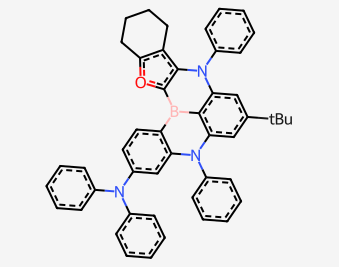 CC(C)(C)c1cc2c3c(c1)N(c1ccccc1)c1c(oc4c1CCCC4)B3c1ccc(N(c3ccccc3)c3ccccc3)cc1N2c1ccccc1